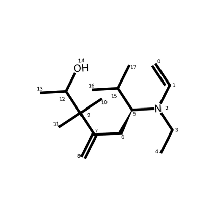 C=CN(CC)[C@@H](CC(=C)C(C)(C)C(C)O)C(C)C